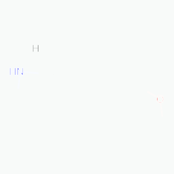 COc1cc2c(cc1C)C[C@@H]1NCCCC21